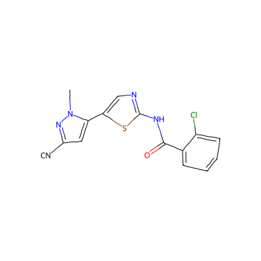 [C-]#[N+]c1cc(-c2cnc(NC(=O)c3ccccc3Cl)s2)n(C)n1